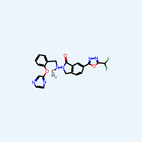 CN(Cc1ccccc1Oc1cnccn1)N1Cc2ccc(-c3nnc(C(F)F)o3)cc2C1=O